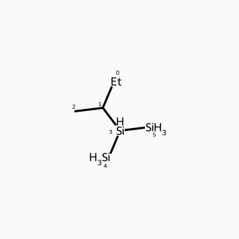 CCC(C)[SiH]([SiH3])[SiH3]